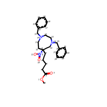 COC(=O)CCCCC1([N+](=O)[O-])CCN(Cc2ccccc2)CCN(Cc2ccccc2)C1